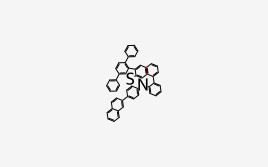 c1ccc(-c2ccccc2N(c2ccc(-c3ccc4ccccc4c3)cc2)c2cccc3c2sc2c(-c4ccccc4)ccc(-c4ccccc4)c23)cc1